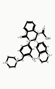 O=C(O)[C@@H]1c2ccccc2C(=O)N(c2ccc(CN3CCOCC3)c(Cl)c2)[C@H]1c1ccc2c(c1)OCCO2